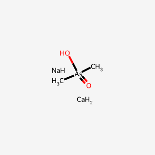 C[As](C)(=O)O.[CaH2].[NaH]